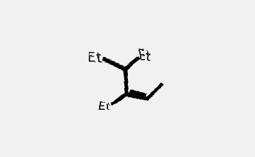 CC=C(CC)C(CC)CC